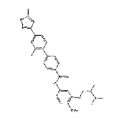 COc1ccc(NC(=O)c2ccc(-c3ccc(-c4noc(C)n4)cc3C)cc2)cc1OCC(C)N(C)C